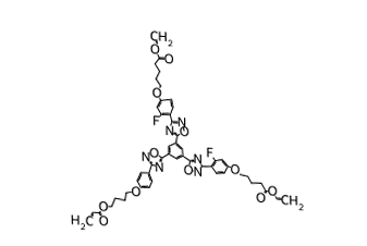 C=COC(=O)CCCCOc1ccc(-c2noc(-c3cc(-c4nc(-c5ccc(OCCCCOC(=O)C=C)cc5)no4)cc(-c4nc(-c5ccc(OCCCCC(=O)OC=C)cc5F)no4)c3)n2)c(F)c1